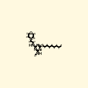 CCCCCCCCSc1nc(NC)nc(NCCN2CCOCC2)n1